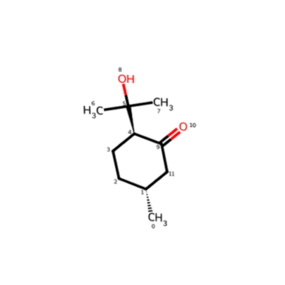 C[C@@H]1CC[C@@H](C(C)(C)O)C(=O)C1